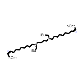 CCCCCCCC/C=C\CCCCCCCCN(CCCCN(CCCCCCCC/C=C\CCCCCCCC)CC(C)CC)CC(C)CC